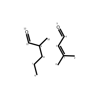 CC(C)=CC=O.CCCC(C)C=O